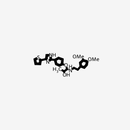 COc1ccc(CCN[C@@H](Oc2ccc(-c3nc(-c4cccs4)c[nH]3)cc2)C(C)O)cc1OC